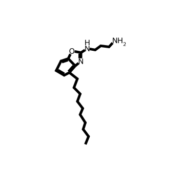 CCCCCCCCCCc1cccc2oc(NCCCN)nc12